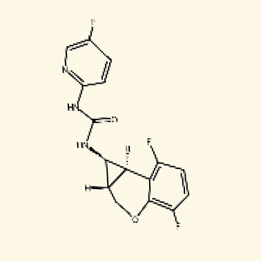 O=C(Nc1ccc(F)cn1)N[C@@H]1[C@H]2COc3c(F)ccc(F)c3[C@@H]21